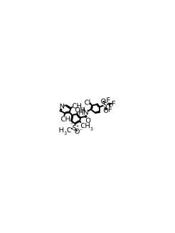 Cc1cncc(C)c1-c1cc([S+](C)[O-])c(C)c(C(=O)Nc2ccc(S(=O)(=O)C(F)(F)F)cc2Cl)c1O